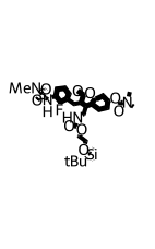 CNS(=O)(=O)Nc1cccc(Cc2c(CNC(=O)OCCO[Si](C)(C)C(C)(C)C)c3ccc(OC(=O)N(C)C)cc3oc2=O)c1F